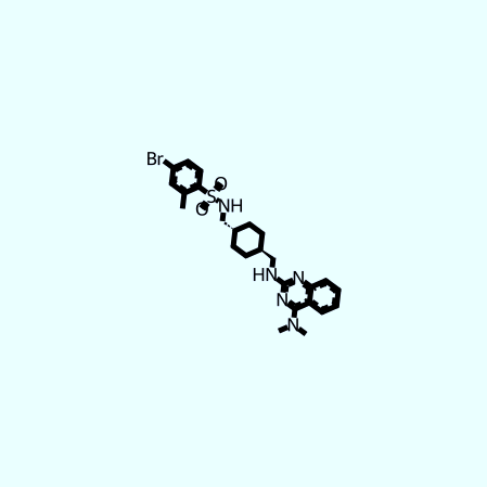 Cc1cc(Br)ccc1S(=O)(=O)NC[C@H]1CC[C@H](CNc2nc(N(C)C)c3ccccc3n2)CC1